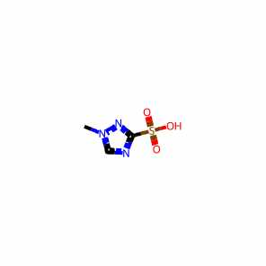 Cn1cnc(S(=O)(=O)O)n1